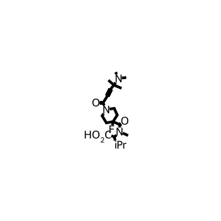 CC(C)C(C(=O)O)N(C)C(=O)C1(F)CCN(C(=O)C#CC(C)(C)N(C)C)CC1